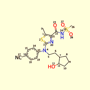 Cc1sc(N(CCC2CCCC2O)c2ccc(C#N)cc2)nc1C(=O)NS(C)(=O)=O